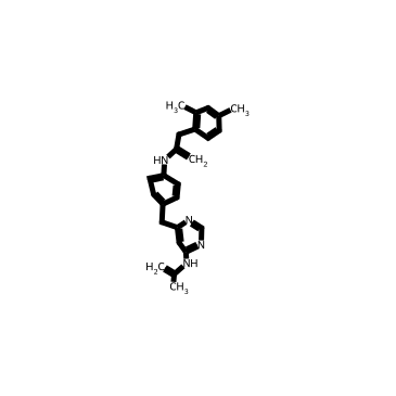 C=C(C)Nc1cc(Cc2ccc(NC(=C)Cc3ccc(C)cc3C)cc2)ncn1